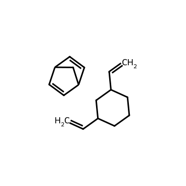 C1=CC2C=CC1C2.C=CC1CCCC(C=C)C1